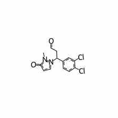 Cn1c(=O)ccn1C(CC=O)c1ccc(Cl)c(Cl)c1